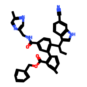 CCC(c1ccc(C(=O)NCc2cnc(C)cn2)cc1-c1ccc(C)cc1C(=O)OCc1ccccc1)c1c[nH]c2cc(C#N)ccc12